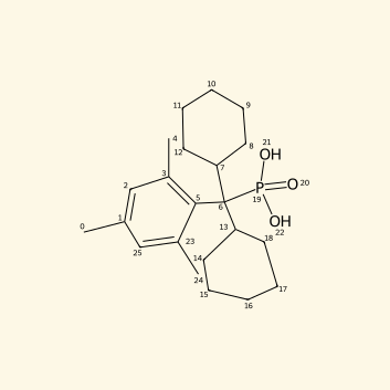 Cc1cc(C)c(C(C2CCCCC2)(C2CCCCC2)P(=O)(O)O)c(C)c1